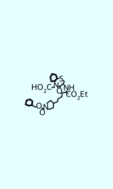 CCOC(=O)[C@@H](CCCCC1CCN(C(=O)OCc2ccccc2)CC1)NC1CSc2ccccc2N(CC(=O)O)C1=O